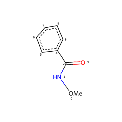 CONC(=O)c1ccccc1